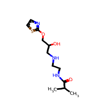 CC(C)C(=O)NCCNCC(O)COc1nccs1